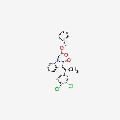 CC(=C1C(=O)N(CC(=O)OCc2ccccc2)c2ccccc21)c1ccc(Cl)c(Cl)c1